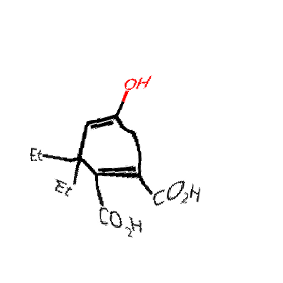 CCC1(CC)C=C(O)CC(C(=O)O)=C1C(=O)O